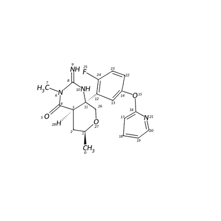 C[C@H]1C[C@H]2C(=O)N(C)C(=N)N[C@@]2(c2cc(Oc3ccccn3)ccc2F)CO1